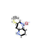 CC(C)(C)Sc1cc2ncccc2[n+]([O-])c1